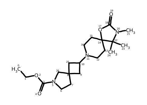 CCOC(=O)N1CCC2(CC(N3CCC4(CC3)OC(=O)N(C)C4(C)C)C2)C1